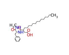 CCCCCCCCCCCCCCC(CC(=O)O)C(=O)N[C@@H](Cc1ccccc1)C(=O)NC